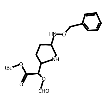 CC(C)(C)OC(=O)C(OC=O)C1CCC(NOCc2ccccc2)CN1